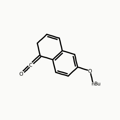 CCCCOc1ccc2c(c1)C=CCC2=C=O